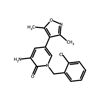 Cc1noc(C)c1-c1cc(N)c(=O)n(Cc2ccccc2Cl)c1